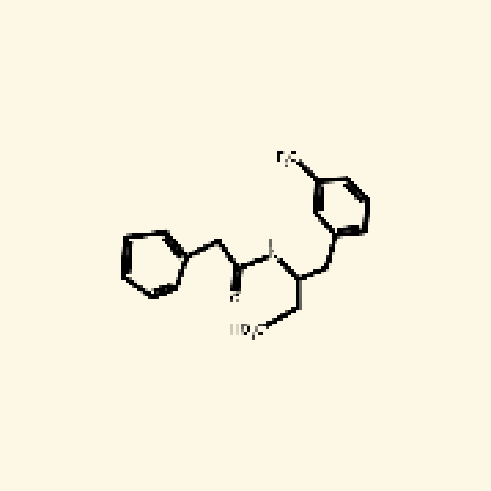 O=C(O)CC(Cc1cccc(C(F)(F)F)c1)NC(=O)Cc1ccccc1